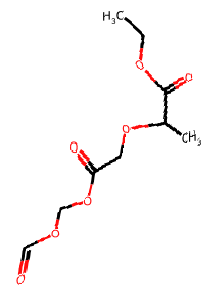 CCOC(=O)C(C)OCC(=O)OCOC=O